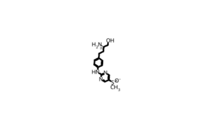 C[S+]([O-])c1cnc(Nc2ccc(CC[C@H](N)CO)cc2)nc1